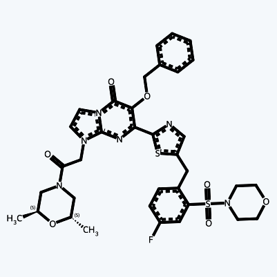 C[C@H]1CN(C(=O)Cn2ccn3c(=O)c(OCc4ccccc4)c(-c4ncc(Cc5ccc(F)cc5S(=O)(=O)N5CCOCC5)s4)nc23)C[C@H](C)O1